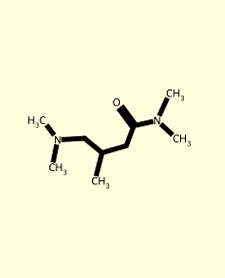 CC(CC(=O)N(C)C)CN(C)C